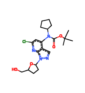 CC(C)(C)OC(=O)N(c1cc(Cl)nc2c1cnn2C1CCC(CO)O1)C1CCCC1